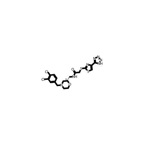 O=C(CSc1nc(-c2nnn[nH]2)cs1)NC[C@H]1CN(Cc2ccc(Cl)c(Cl)c2)CCO1